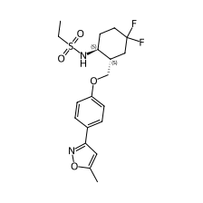 CCS(=O)(=O)N[C@H]1CCC(F)(F)C[C@@H]1COc1ccc(-c2cc(C)on2)cc1